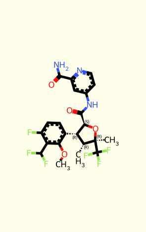 COc1c([C@@H]2[C@@H](C(=O)Nc3ccnc(C(N)=O)c3)O[C@@](C)(C(F)(F)F)[C@@H]2C)ccc(F)c1C(F)F